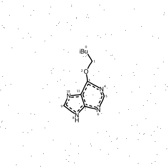 CCC(C)COc1ncnc2[nH]cnc12